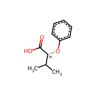 CC(C)[C@@H](Oc1ccccc1)C(=O)O